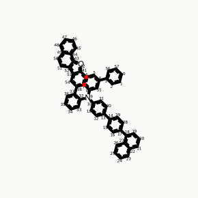 c1ccc(-c2cccc(N(c3ccc(-c4ccc(-c5cccc6ccccc56)cc4)cc3)c3ccccc3-c3ccc4oc5c6ccccc6ccc5c4c3)c2)cc1